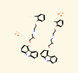 COc1ccccc1OCCNCC(O)COc1cccc2[nH]c3ccccc3c12.COc1ccccc1OCCNCC(O)COc1cccc2[nH]c3ccccc3c12.O.O=P(O)(O)O.O=P(O)(O)O